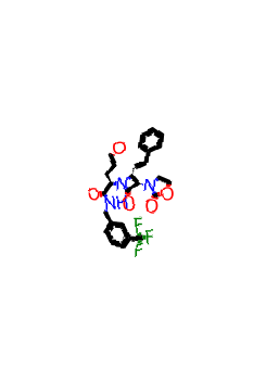 O=CCC[C@H](C(=O)NCc1cccc(C(F)(F)F)c1)N1C(=O)[C@@H](N2CCOC2=O)[C@H]1/C=C/c1ccccc1